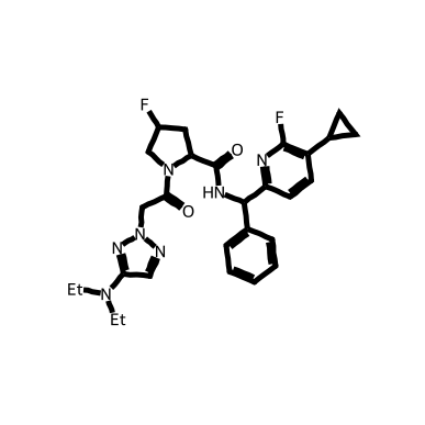 CCN(CC)c1cnn(CC(=O)N2CC(F)CC2C(=O)NC(c2ccccc2)c2ccc(C3CC3)c(F)n2)n1